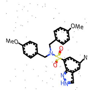 COc1ccc(CN(Cc2ccc(OC)cc2)S(=O)(=O)c2cc([N+](=O)[O-])cc3c[nH]nc23)cc1